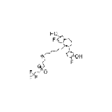 CN(CCCCCCC1=C(c2ccc(F)c(O)c2)CCCc2cc(O)c(F)cc21)CCCS(=O)(=O)CCC(F)(F)F